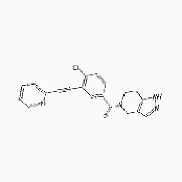 O=C(c1ccc(Cl)c(C#Cc2ccccn2)c1)N1CCc2[nH]ncc2C1